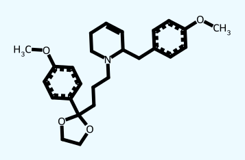 COc1ccc(CC2C=CCCN2CCCC2(c3ccc(OC)cc3)OCCO2)cc1